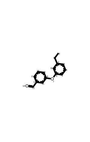 CCc1cccc(Oc2cccc(C=O)c2)c1